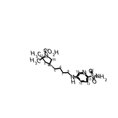 CC1(C)C[C@H](CCCCNc2ccc(S(N)(=O)=O)nc2)CN1C(=O)O